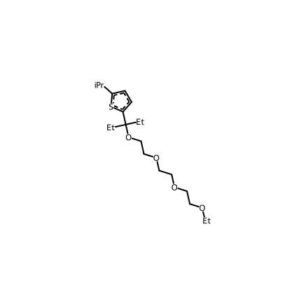 CCOCCOCCOCCOC(CC)(CC)c1ccc(C(C)C)s1